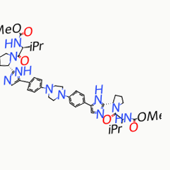 COC(=O)N[C@H](C(=O)N1CCC[C@H]1c1ncc(-c2ccc(N3CCN(c4ccc(-c5cnc([C@@H]6CCCN6C(=O)[C@@H](NC(=O)OC)C(C)C)[nH]5)cc4)CC3)cc2)[nH]1)C(C)C